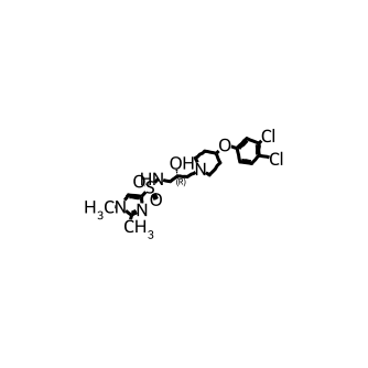 Cc1nc(S(=O)(=O)NC[C@H](O)CN2CCC(Oc3ccc(Cl)c(Cl)c3)CC2)cn1C